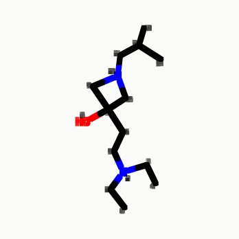 CCN(CC)CCC1(O)CN(C[C](C)C)C1